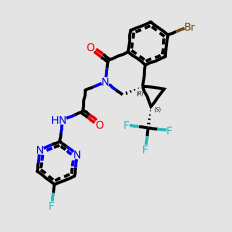 O=C(CN1C[C@@]2(C[C@@H]2C(F)(F)F)c2cc(Br)ccc2C1=O)Nc1ncc(F)cn1